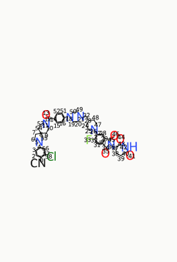 N#Cc1ccc(N2CCC3(CCN(C(=O)c4ccc(N5CCN(CC6CCN(c7cc8c(cc7F)C(=O)N(C7CCC(=O)NC7=O)C8=O)CC6)CC5)cc4)CC3)C2)cc1Cl